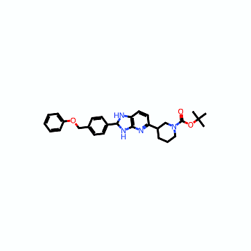 CC(C)(C)OC(=O)N1CCCC(c2ccc3c(n2)NC(c2ccc(COc4ccccc4)cc2)N3)C1